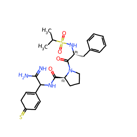 CC(C)S(=O)(=O)N[C@H](Cc1ccccc1)C(=O)N1CCC[C@H]1C(=O)NC(C(=N)N)C1=CCC(=S)C=C1